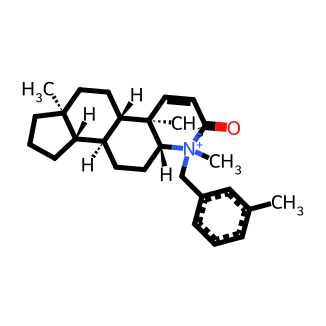 Cc1cccc(C[N+]2(C)C(=O)C=C[C@@]3(C)[C@H]2CC[C@H]2[C@@H]4CCC[C@@]4(C)CC[C@@H]23)c1